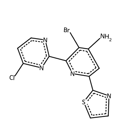 Nc1cc(-c2nccs2)nc(-c2nccc(Cl)n2)c1Br